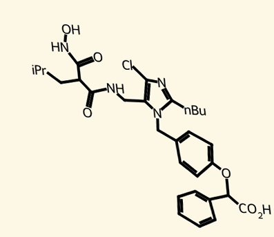 CCCCc1nc(Cl)c(CNC(=O)C(CC(C)C)C(=O)NO)n1Cc1ccc(OC(C(=O)O)c2ccccc2)cc1